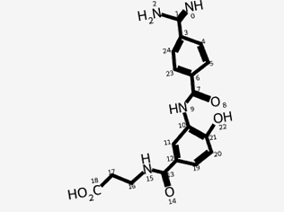 N=C(N)c1ccc(C(=O)Nc2cc(C(=O)NCCC(=O)O)ccc2O)cc1